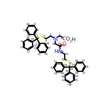 O=C(O)CN(CCSC(c1ccccc1)(c1ccccc1)c1ccccc1)CC(=O)NCCSC(c1ccccc1)(c1ccccc1)c1ccccc1